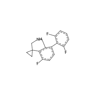 Fc1cccc(F)c1-c1ccc(F)c2c1CNCC21CC1